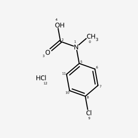 CN(C(=O)O)c1ccc(Cl)cc1.Cl